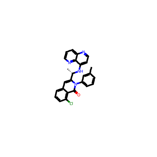 Cc1cccc(-n2c([C@H](C)Nc3ccnc4cccnc34)cc3cccc(Cl)c3c2=O)c1